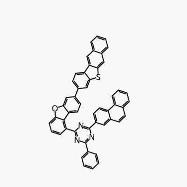 c1ccc(-c2nc(-c3ccc4c(ccc5ccccc54)c3)nc(-c3cccc4oc5cc(-c6ccc7c(c6)sc6cc8ccccc8cc67)ccc5c34)n2)cc1